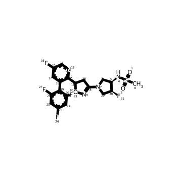 CS(=O)(=O)N[C@@H]1CN(C2=NOC(c3ncc(F)cc3-c3c(F)cc(F)cc3F)C2)C[C@@H]1F